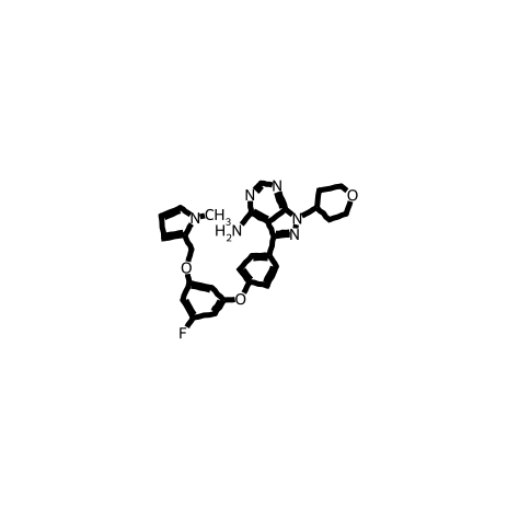 Cn1cccc1COc1cc(F)cc(Oc2ccc(-c3nn(C4CCOCC4)c4ncnc(N)c34)cc2)c1